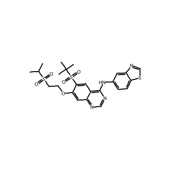 CC(C)S(=O)(=O)CCOc1cc2ncnc(Nc3ccc4scnc4c3)c2cc1S(=O)(=O)C(C)(C)C